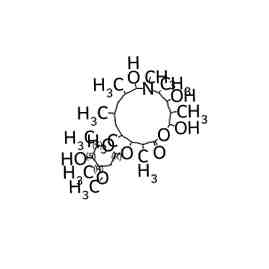 CO[C@]1(C)C[C@H](OC2C(C)CC(C)CC(C)C(O)N(C)C(C)C(O)C(C)C(O)OC(=O)C2C)O[C@@H](C)[C@@H]1O